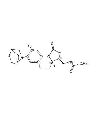 COC(=O)NC[C@@H]1OC(=O)N2c3cc(F)c(N4CC5CCCC4CS5)cc3OC[C@@H]12